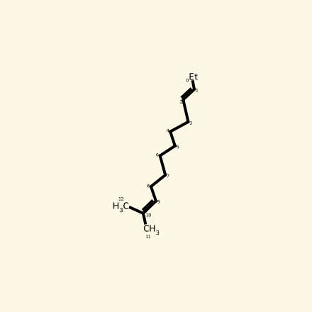 CCC=CCCCCCCC=C(C)C